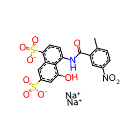 Cc1ccc([N+](=O)[O-])cc1C(=O)Nc1ccc(S(=O)(=O)[O-])c2cc(S(=O)(=O)[O-])cc(O)c12.[Na+].[Na+]